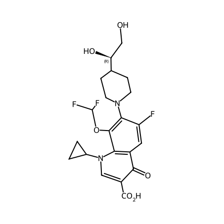 O=C(O)c1cn(C2CC2)c2c(OC(F)F)c(N3CCC([C@@H](O)CO)CC3)c(F)cc2c1=O